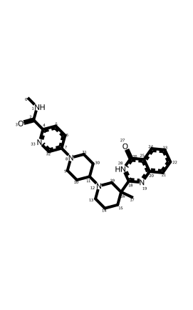 CNC(=O)c1ccc(N2CCC(N3CCCC(C)(c4nc5ccccc5c(=O)[nH]4)C3)CC2)cn1